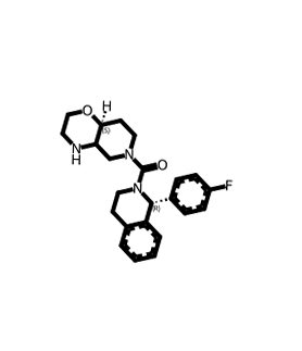 O=C(N1CC[C@@H]2OCCNC2C1)N1CCc2ccccc2[C@H]1c1ccc(F)cc1